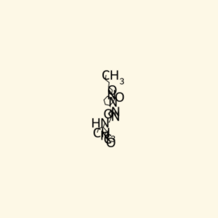 CCCCON1C(=O)N2CC1CC[C@H]2c1nnc(CNC(CC)CN=C=O)o1